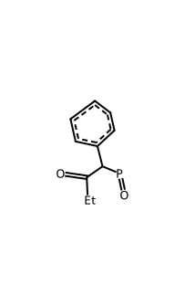 CCC(=O)C(P=O)c1ccccc1